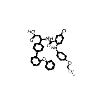 CCOc1ccc(Nc2ccc(Cl)cc2C(=O)NC(CC(=O)O)c2ccc(-c3ccccc3Oc3ccccc3)cc2)cc1